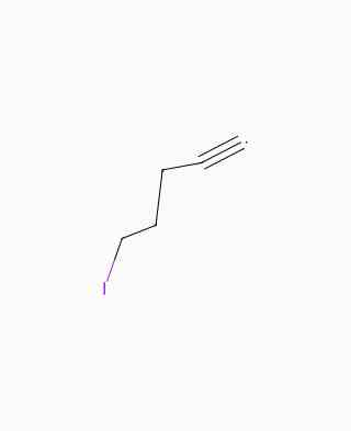 [C]#CCCCI